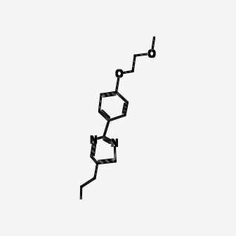 CCCc1cnc(-c2ccc(OCCOC)cc2)nc1